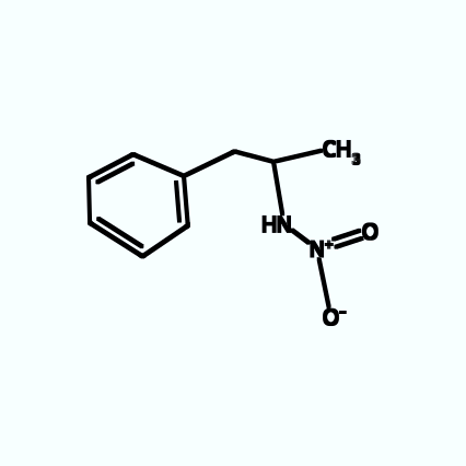 CC(Cc1ccccc1)N[N+](=O)[O-]